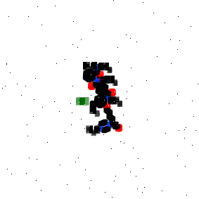 COc1cc(C(=O)N(C)c2ccc(C)cc2OCCCCC(=C=O)N2CCN(C)CC2)ccc1C(=O)Nc1ccccc1C(=O)N(C)C.Cl